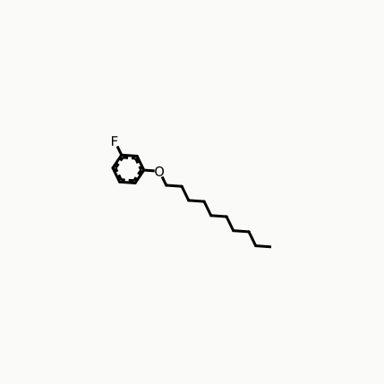 CCCCCCCCCCOc1cccc(F)c1